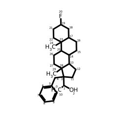 C[C@H](O)C1(Cc2ccccc2)CCC2C3CCC4CC(F)CCC4(C)C3CCC21C